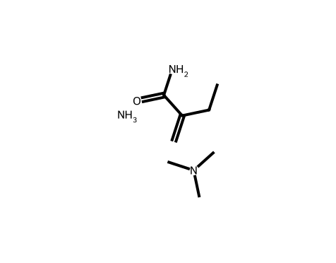 C=C(CC)C(N)=O.CN(C)C.N